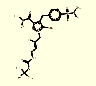 Cc1c(Cc2ccc(S(=O)(=O)N(C)C)cc2)c(C(=O)N(C)C)nn1C/C(F)=C/CNC(=O)OC(C)(C)C